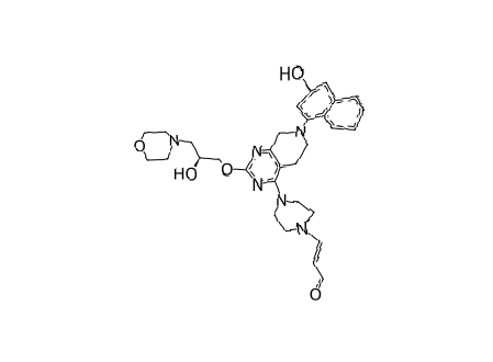 O=CC=CN1CCN(c2nc(OC[C@@H](O)CN3CCOCC3)nc3c2CCN(c2cc(O)cc4ccccc24)C3)CC1